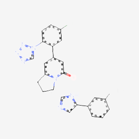 O=Cc1cccc(-c2cnc([C@@H]3CCc4cc(-c5cc(Cl)ccc5-n5cnnn5)cc(=O)n43)[nH]2)c1